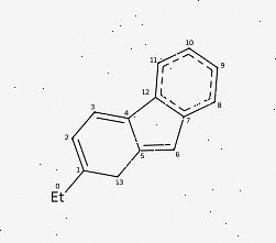 CCC1=CC=C2C(=Cc3ccccc32)C1